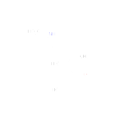 C#CC(=O)C(C)(C)CCNC(=O)O